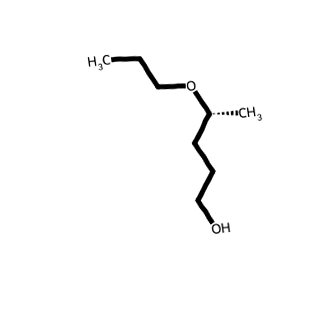 CCCO[C@H](C)CCCO